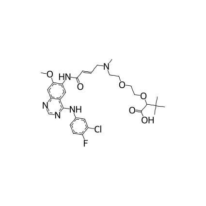 COc1cc2ncnc(Nc3ccc(F)c(Cl)c3)c2cc1NC(=O)C=CCN(C)CCOCCOC(C(=O)O)C(C)(C)C